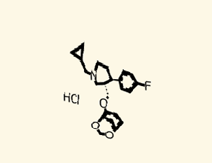 Cl.Fc1ccc([C@@H]2CCN(CC3CC3)C[C@H]2COc2ccc3cc2OCO3)cc1